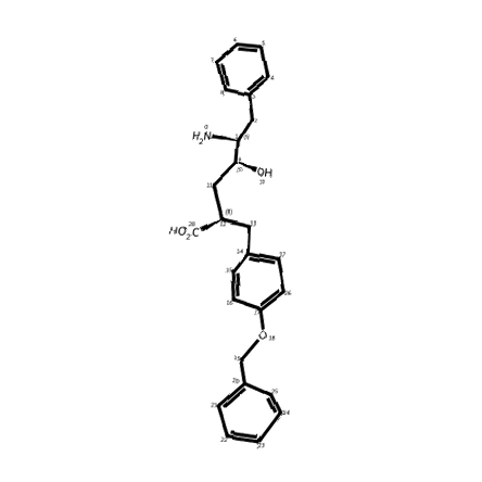 N[C@@H](Cc1ccccc1)[C@@H](O)C[C@@H](Cc1ccc(OCc2ccccc2)cc1)C(=O)O